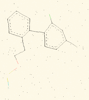 O=Cc1ccc(-c2ccccc2CCOSF)c(Cl)c1